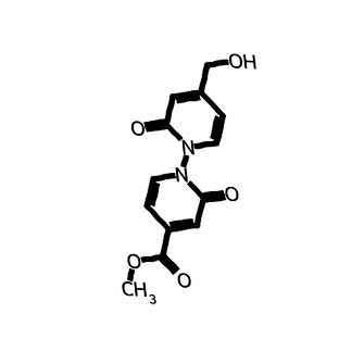 COC(=O)c1ccn(-n2ccc(CO)cc2=O)c(=O)c1